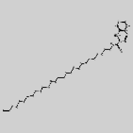 CCCCCCCCCCCCCCCCCCCCCCCCCCCCOC(=O)C1C=Cc2ccccc2N1